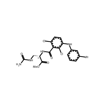 COC(=O)[C@H](CNC(N)=O)NC(=O)c1c(Cl)ccc(Nc2cccc(C(C)C)c2)c1Cl